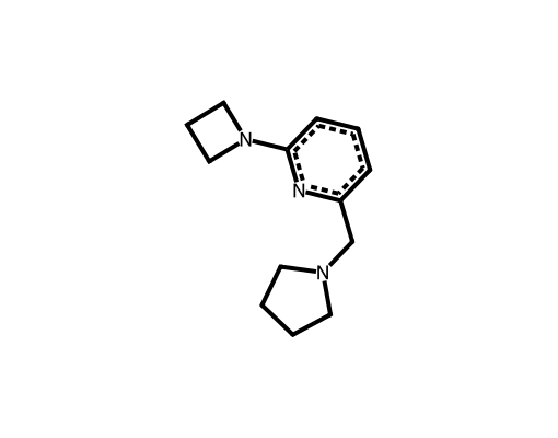 c1cc(CN2CCCC2)nc(N2CCC2)c1